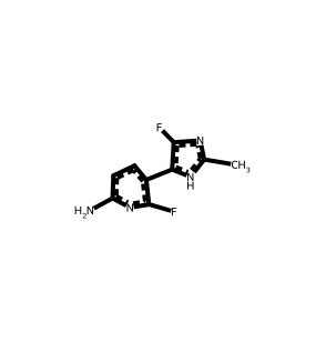 Cc1nc(F)c(-c2ccc(N)nc2F)[nH]1